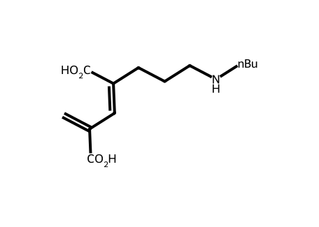 C=C(C=C(CCCNCCCC)C(=O)O)C(=O)O